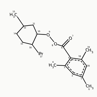 Cc1cc(C)c(C(=O)OO[C]2CC(C)CCC2C(C)C)c(C)c1